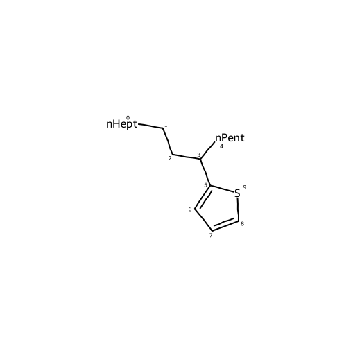 CCCCCCCCCC(CCCCC)c1cccs1